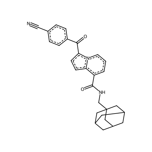 N#Cc1ccc(C(=O)c2ccc3c(C(=O)NCC45CC6CC(CC(C6)C4)C5)cccn23)cc1